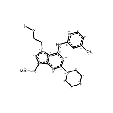 CCOCCn1nc(COC)c2nc(N3CCNCC3)nc(Nc3cc(C)ccn3)c21